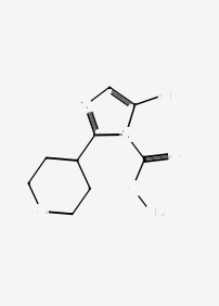 CC(C)(C)OC(=O)n1c(C=O)cnc1C1CCOCC1